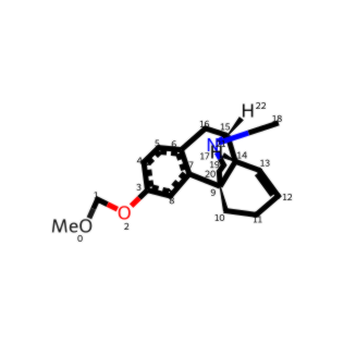 COCOc1ccc2c(c1)[C@@]13CCC=C[C@H]1[C@@H](C2)N(C)CC3